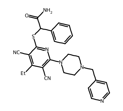 CCc1c(C#N)c(SC(C(N)=O)c2ccccc2)nc(N2CCN(Cc3ccncc3)CC2)c1C#N